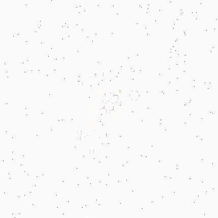 CC(C)(C)[Si](C)(C)OCCCn1c(=O)c2c(nc(Cl)n2Cc2ccccc2)n(COCC[Si](C)(C)C)c1=O